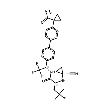 CC(C)(F)C[C@H](NC1(C#N)CC1)C(=O)N[C@@H](c1ccc(-c2ccc(C3(C(N)=O)CC3)cc2)cc1)C(F)(F)F